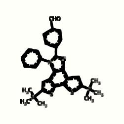 C[Si](C)(C)c1cc2c3nc(-c4ccc(C=O)cc4)n(-c4ccccc4)c3c3cc([Si](C)(C)C)sc3c2s1